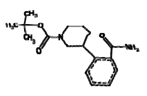 CC(C)(C)OC(=O)N1CCCC(c2ccccc2C(N)=O)C1